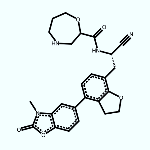 Cn1c(=O)oc2ccc(-c3ccc(C[C@@H](C#N)NC(=O)C4CNCCCO4)c4c3CCO4)cc21